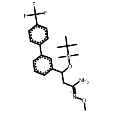 CO/N=C(\N)CC(O[Si](C)(C)C(C)(C)C)c1cccc(-c2ccc(C(F)(F)F)cc2)c1